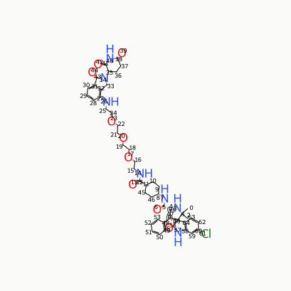 CC1(C)N[C@@H](C(=O)N[C@H]2CC[C@H](C(=O)NCCOCCOCCOCCNc3cccc4c3CN(C3CCC(=O)NC3=O)C4=O)CC2)[C@H](c2ccccc2)[C@]12C(=O)Nc1cc(Cl)ccc12